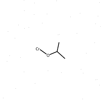 CC(C)[O][Cr]